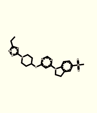 CCc1noc(N2CCC(Oc3cc(N4CCc5cc(S(C)(=O)=O)ccc54)ncn3)CC2)n1